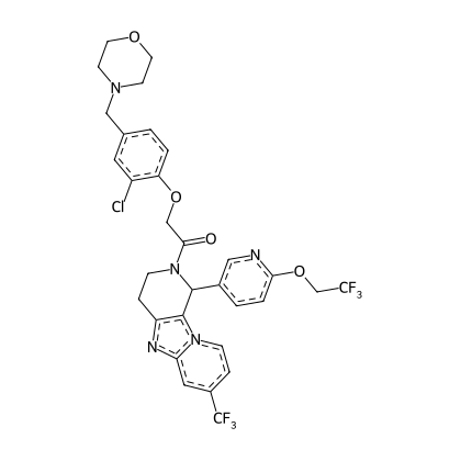 O=C(COc1ccc(CN2CCOCC2)cc1Cl)N1CCc2nc3cc(C(F)(F)F)ccn3c2C1c1ccc(OCC(F)(F)F)nc1